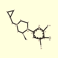 C[C@H]1CN(CC2CC2)CCN1c1cc(I)c(Cl)c(F)n1